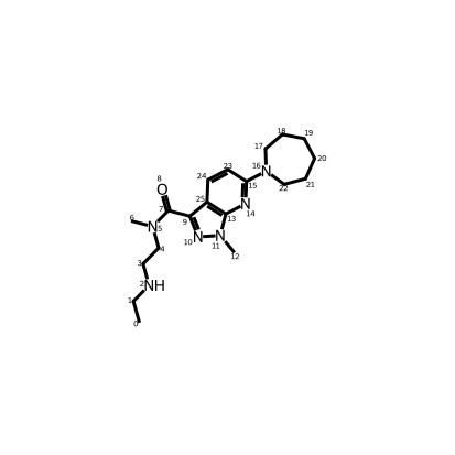 CCNCCN(C)C(=O)c1nn(C)c2nc(N3CCCCCC3)ccc12